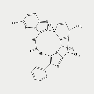 CC1C=CC2(C)C3=C1C(C)c1nc(-c4ccccc4)c(n1C3C)NC(=O)Nc1c2nc2ccc(Cl)nn12